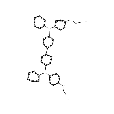 CCOc1ccc(N(c2ccccc2)c2ccc(-c3ccc(N(c4ccccc4)c4ccc(OCC)cc4)cc3)cc2)cc1